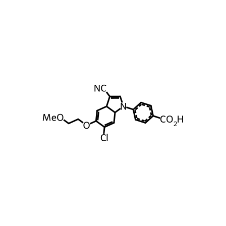 COCCOC1=CC2C(C#N)=CN(c3ccc(C(=O)O)cc3)C2C=C1Cl